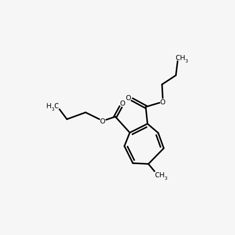 CCCOC(=O)C1=C(C(=O)OCCC)C=CC(C)C=C1